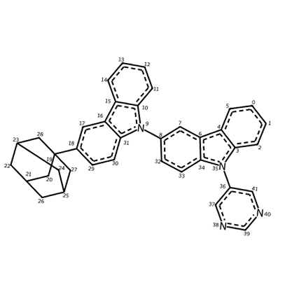 c1ccc2c(c1)c1cc(-n3c4ccccc4c4cc(C56CC7CC(CC(C7)C5)C6)ccc43)ccc1n2-c1cncnc1